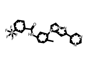 Cc1ccc(NC(=O)c2cccc(S(F)(F)(F)(F)F)c2)cc1-n1ccn2nc(-c3cncnc3)cc12